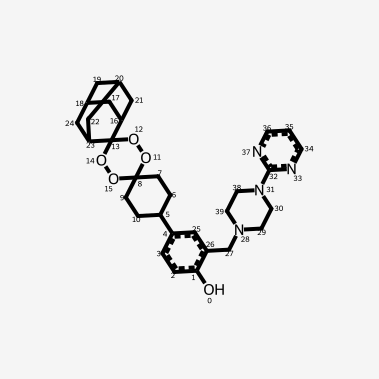 Oc1ccc(C2CCC3(CC2)OOC2(OO3)C3CC4CC(C3)CC2C4)cc1CN1CCN(c2ncccn2)CC1